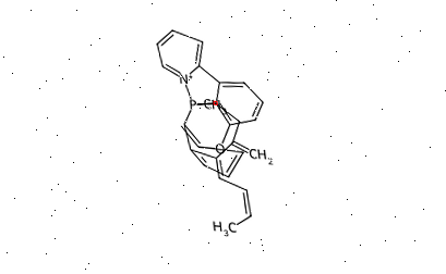 C=C1CCP23(C)c4c(cccc4/C1=C/C=C\C)Oc1cccc(c12)-c1cccc[n+]13